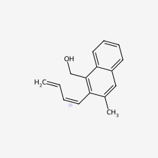 C=C/C=C\c1c(C)cc2ccccc2c1CO